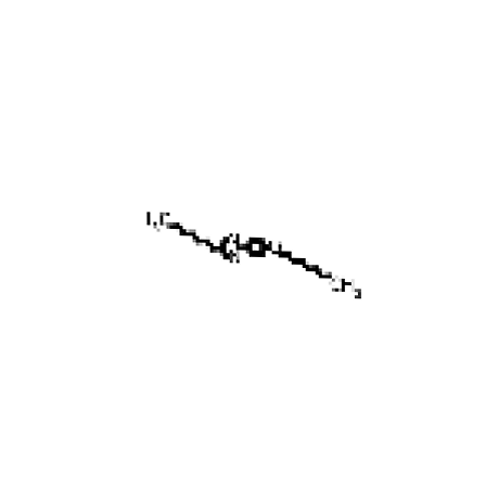 CCCCCCCC=COc1ccc(-c2ncc(CCCCCCCC)cn2)cc1